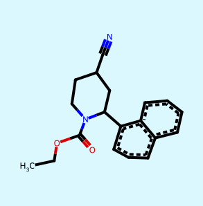 CCOC(=O)N1CCC(C#N)CC1c1cccc2ccccc12